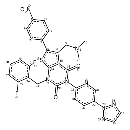 CN(C)Cc1c(-c2ccc([N+](=O)[O-])cc2)sc2c1c(=O)n(-c1ccc(-n3nccn3)cn1)c(=O)n2Cc1c(F)cccc1F